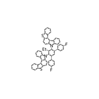 CCc1c(-n2c3ccccc3c3c4c(ccc32)sc2ccccc24)c(-c2ccc(F)cc2)cc(-c2ccc(F)cc2)c1-n1c2ccccc2c2c3c(ccc21)sc1ccccc13